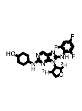 [2H]C1COC([2H])C1n1c(Nc2c(F)cc(F)cc2F)nc2cnc(NC3CCC(O)CC3)nc21